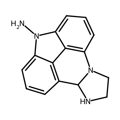 Nn1c2cccc3c2c2c(cccc21)N1CCNC31